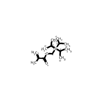 C=C(C)C(=O)OC[Si](C(C)C)(C(C)C)C(C)C